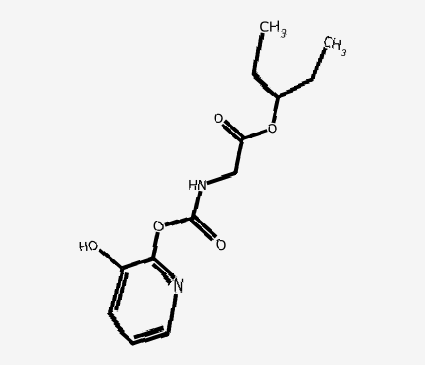 CCC(CC)OC(=O)CNC(=O)Oc1ncccc1O